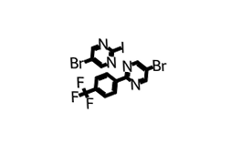 Brc1cnc(I)nc1.FC(F)(F)c1ccc(-c2ncc(Br)cn2)cc1